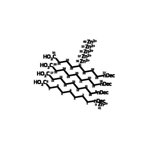 CCCCCCCCCCCCCCCCCC(=O)O.CCCCCCCCCCCCCCCCCC(=O)O.CCCCCCCCCCCCCCCCCC(=O)O.CCCCCCCCCCCCCCCCCC(=O)O.[Zn+2].[Zn+2].[Zn+2].[Zn+2].[Zn+2].[Zn+2]